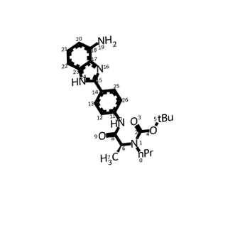 CCCN(C(=O)OC(C)(C)C)[C@@H](C)C(=O)Nc1ccc(-c2nc3c(N)cccc3[nH]2)cc1